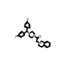 O=C(CN1CCc2ccccc2C1)N1CCN(C(c2ccc(F)cc2)c2ccc(F)cc2)CC1